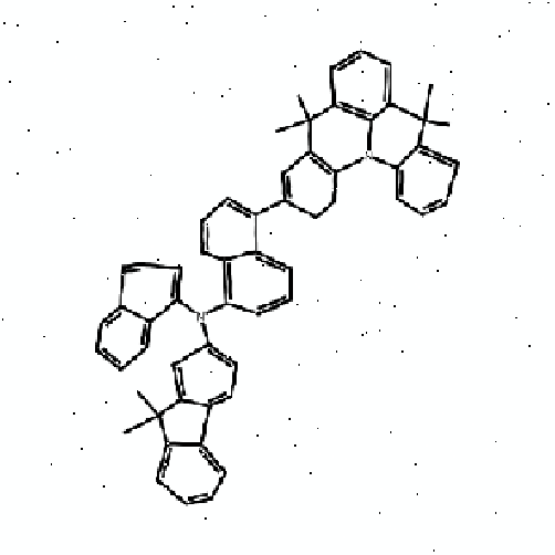 CC1(C)C2=C(CCC(c3cccc4c(N(c5ccc6c(c5)C(C)(C)c5ccccc5-6)c5cccc6ccccc56)cccc34)=C2)N2c3ccccc3C(C)(C)c3cccc1c32